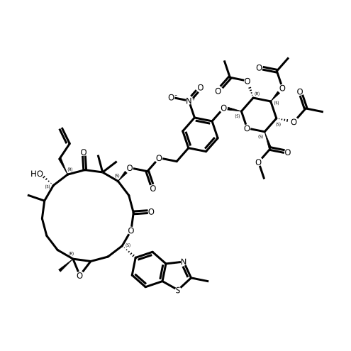 C=CC[C@H]1C(=O)C(C)(C)[C@@H](OC(=O)OCc2ccc(O[C@@H]3O[C@H](C(=O)OC)[C@@H](OC(C)=O)[C@H](OC(C)=O)[C@H]3OC(C)=O)c([N+](=O)[O-])c2)CC(=O)O[C@H](c2ccc3sc(C)nc3c2)CC2O[C@]2(C)CCCC(C)[C@@H]1O